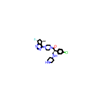 C[C@@H]1C[C@@H](F)c2ncnc(N3CCN(C(=O)[C@H](CNC4CCNCC4)c4ccc(Cl)cc4)CC3)c21